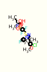 CCCC[C@@H](C(=O)O)N(C)S(=O)(=O)c1cc(F)c(CSc2ncc(C(C)(C)c3ccc(OC)c(Cl)c3)n2-c2ccc(F)cc2)c(F)c1